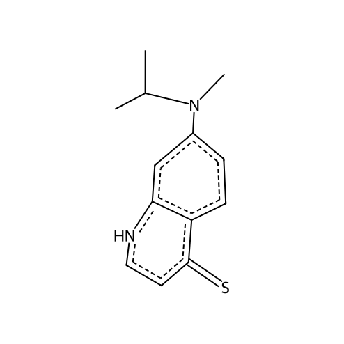 CC(C)N(C)c1ccc2c(=S)cc[nH]c2c1